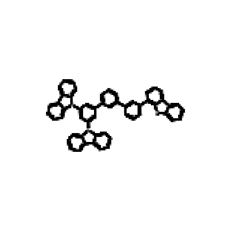 c1cc(-c2cccc(-c3cccc4c3sc3ccccc34)c2)cc(-c2cc(-n3c4ccccc4c4ccccc43)cc(-n3c4ccccc4c4ccccc43)c2)c1